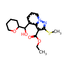 CCOC(=O)c1c(SC)nn2cccc(C(O)C3CCCCO3)c12